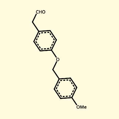 COc1ccc(COc2ccc(CC=O)cc2)cc1